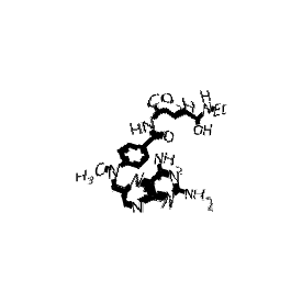 CCNC(O)CC[C@@H](NC(=O)c1ccc(N(C)Cc2cnc3nc(N)nc(N)c3n2)cc1)C(=O)O